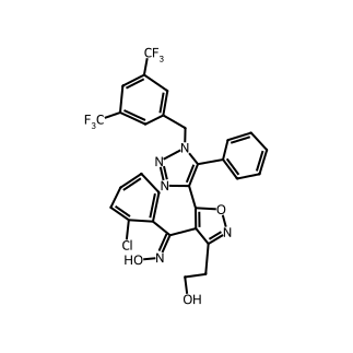 OCCc1noc(-c2nnn(Cc3cc(C(F)(F)F)cc(C(F)(F)F)c3)c2-c2ccccc2)c1C(=NO)c1ccccc1Cl